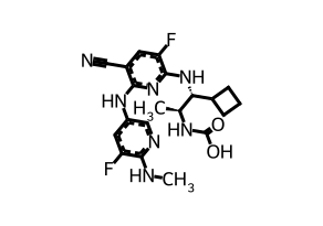 CNc1ncc(Nc2nc(N[C@H](C3CCC3)[C@H](C)NC(=O)O)c(F)cc2C#N)cc1F